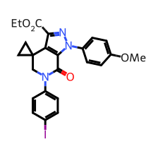 CCOC(=O)c1nn(-c2ccc(OC)cc2)c2c1C1(CC1)CN(c1ccc(I)cc1)C2=O